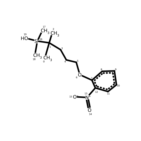 CC(C)(CCCOc1ccccc1[N+](=O)[O-])[Si](C)(C)O